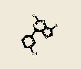 Oc1cccc(-c2nc(Cl)nc3c(Br)csc23)c1